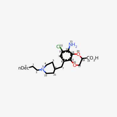 CCCCCCCCCCCCN1CCC(Cc2cc(Cl)c(N)c3c2OCC(C(=O)O)O3)CC1